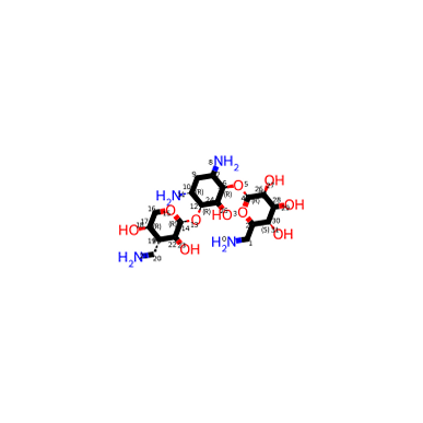 NCC1O[C@H](O[C@@H]2C(N)C[C@@H](N)[C@@H](O[C@H]3OC[C@H](O)[C@@H](CN)C3O)C2O)[C@@H](O)C(O)[C@@H]1O